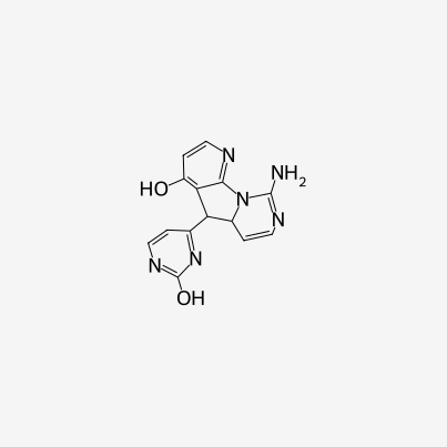 NC1=NC=CC2C(c3ccnc(O)n3)c3c(O)ccnc3N12